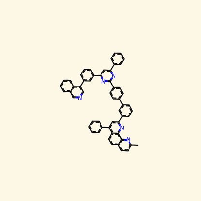 Cc1ccc2ccc3c(-c4ccccc4)cc(-c4cccc(-c5ccc(-c6nc(-c7ccccc7)cc(-c7cccc(-c8cncc9ccccc89)c7)n6)cc5)c4)nc3c2n1